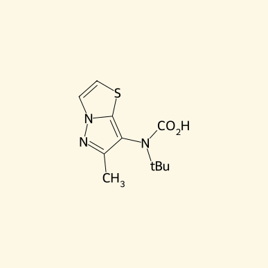 Cc1nn2ccsc2c1N(C(=O)O)C(C)(C)C